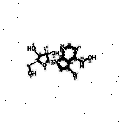 C[C@@]1(O)[C@H](O)[C@@H](CO)O[C@H]1n1cc(Br)c2c(NO)ncnc21